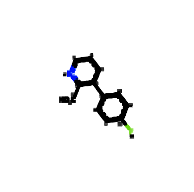 O=C(O)c1ncccc1-c1ccc(F)cc1